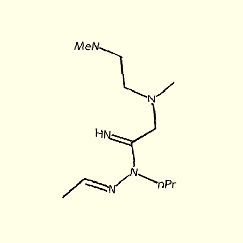 C/C=N/N(CCC)C(=N)CN(C)CCNC